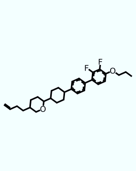 C=CCCC1CCC(C2CCC(c3ccc(-c4ccc(OCCC)c(F)c4F)cc3)CC2)OC1